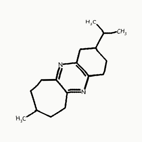 CC1CCc2nc3c(nc2CC1)CC(C(C)C)CC3